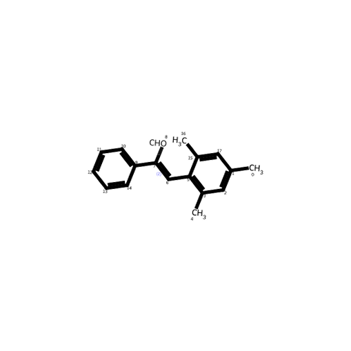 Cc1cc(C)c(/C=C(\C=O)c2ccccc2)c(C)c1